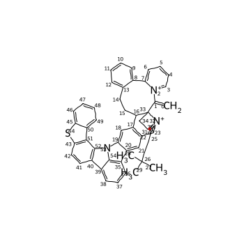 C=C1[n+]2ccccc2-c2ccccc2CCC2c3cc4c(cc3-c3cc(C(C)(C)C)cc5[n+]3C12C5)c1cccc2c3ccc5sc6ccccc6c5c3n4c12